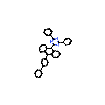 C1=CCC(c2nc(-c3ccccc3)nc(-c3c4ccccc4c(-c4ccc(-c5ccccc5)cc4)c4ccccc34)n2)C=C1